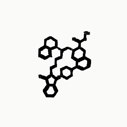 CC(C)(C)OC(=O)N1Cc2cccc(N3CCOCC3)c2C[C@@H]1CN(CCCCN1C(=O)c2ccccc2C1=O)[C@H]1CCCc2cccnc21